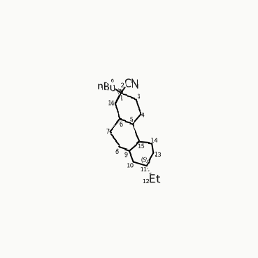 CCCC[C@@]1(C#N)CCC2C(CCC3C[C@@H](CC)CCC32)C1